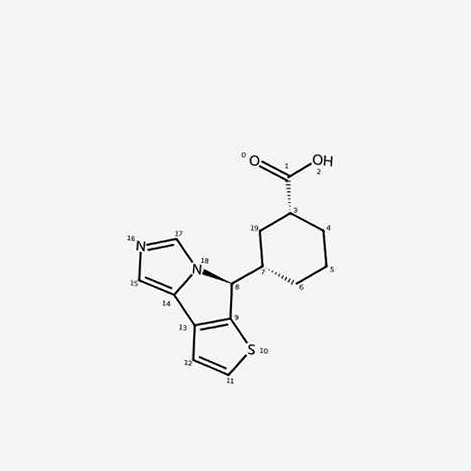 O=C(O)[C@@H]1CCC[C@H]([C@H]2c3sccc3-c3cncn32)C1